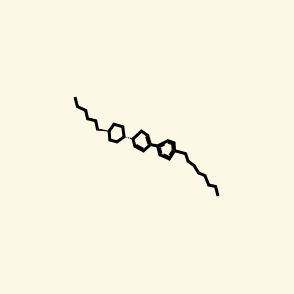 CCCCCCCCc1ccc(C2=CCC([C@H]3CC[C@H](CCCCCC)CC3)C=C2)cc1